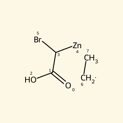 O=C(O)[CH]([Zn])Br.[CH2]C